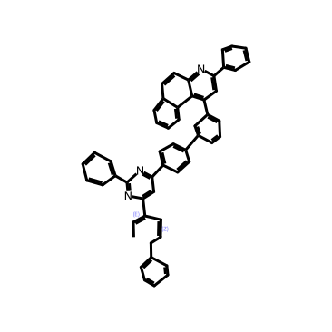 C/C=C(\C=C/Cc1ccccc1)c1cc(-c2ccc(-c3cccc(-c4cc(-c5ccccc5)nc5ccc6ccccc6c45)c3)cc2)nc(-c2ccccc2)n1